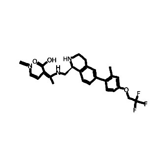 C=N/C=C\C(C(=O)O)=C(/C)NC[C@H]1NCCc2cc(-c3ccc(OCC(F)(F)F)cc3C)ccc21